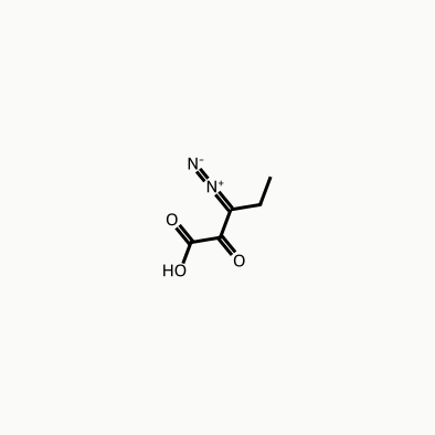 CCC(=[N+]=[N-])C(=O)C(=O)O